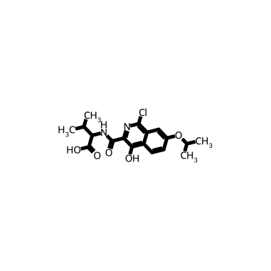 CC(C)Oc1ccc2c(O)c(C(=O)NC(C(=O)O)C(C)C)nc(Cl)c2c1